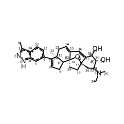 Cc1n[nH]c2cc(C3=CCC4[C@]3(C)CC=C3C=C5[C@@H](O)[C@H](O)[C@@H](N(C)C)C[C@]56CC[C@@]34O6)ccc12